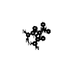 N#Cc1cc(C#N)cc(-c2ccc3c(c2)c2ccccc2n3-c2cc(-c3nc(-c4ccccc4)nc(-c4ccccc4)n3)cc(-n3c4ccccc4c4cc(-c5cc(C#N)cc(C#N)c5)ccc43)c2C#N)c1